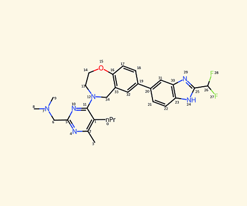 CCCc1c(C)nc(CN(C)C)nc1N1CCOc2ccc(-c3ccc4[nH]c(C(F)F)nc4c3)cc2C1